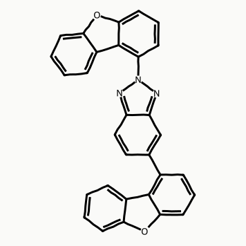 c1ccc2c(c1)oc1cccc(-c3ccc4nn(-c5cccc6oc7ccccc7c56)nc4c3)c12